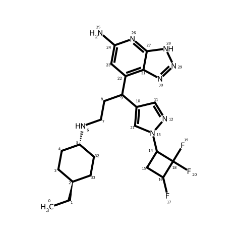 CC[C@H]1CC[C@H](NCCC(c2cnn(C3CC(F)C3(F)F)c2)c2cc(N)nc3[nH]nnc23)CC1